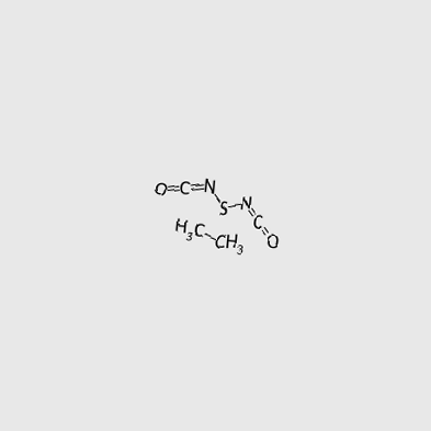 CC.O=C=NSN=C=O